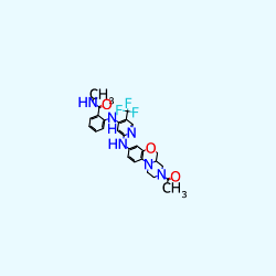 CNC(=O)c1ccccc1Nc1cc(Nc2ccc3c(c2)OCC2CN(C(C)=O)CCN32)ncc1C(F)(F)F